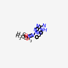 CC(C)(C)OC(=O)N1CCN(CCNc2cc3c(Nc4ccc(Cc5ccccc5)cc4)c(C#N)cnc3cn2)CC1